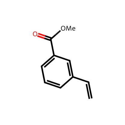 C=Cc1cccc(C(=O)OC)c1